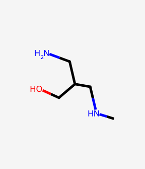 CNCC(CN)CO